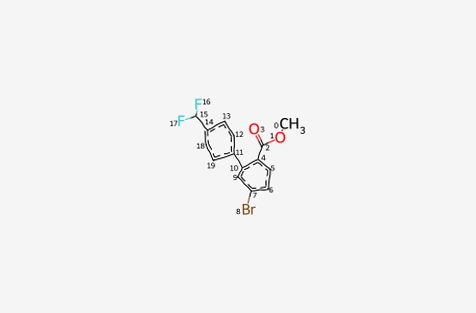 COC(=O)c1ccc(Br)cc1-c1ccc(C(F)F)cc1